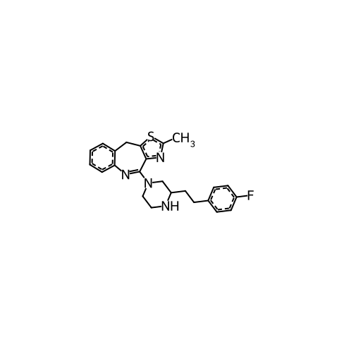 Cc1nc2c(s1)Cc1ccccc1N=C2N1CCNC(CCc2ccc(F)cc2)C1